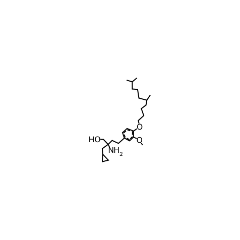 COc1cc(CCC(N)(CO)CC2CC2)ccc1OCCCCC(C)CCCC(C)C